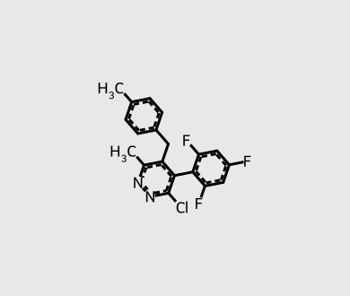 Cc1ccc(Cc2c(C)nnc(Cl)c2-c2c(F)cc(F)cc2F)cc1